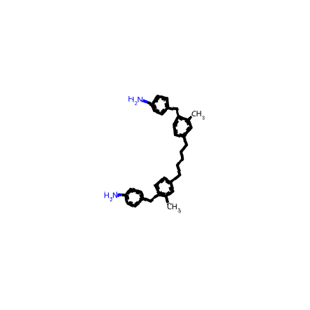 Cc1cc(CCCCCc2ccc(Cc3ccc(N)cc3)c(C)c2)ccc1Cc1ccc(N)cc1